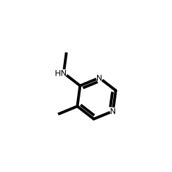 CNc1ncncc1C